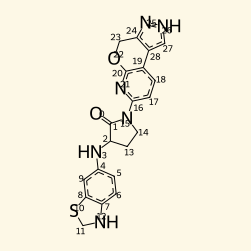 O=C1C(Nc2ccc3c(c2)SCN3)CCN1c1ccc2c(n1)OCc1n[nH]cc1-2